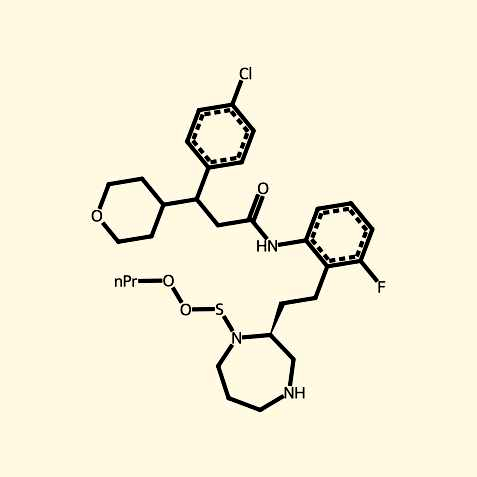 CCCOOSN1CCCNC[C@@H]1CCc1c(F)cccc1NC(=O)CC(c1ccc(Cl)cc1)C1CCOCC1